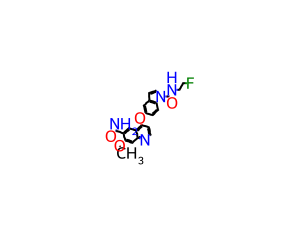 COc1cc2nccc(Oc3ccc4c(ccn4C(=O)NCCF)c3)c2cc1C(N)=O